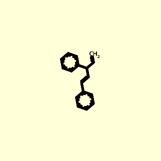 C=CC(C=Cc1ccccc1)c1ccccc1